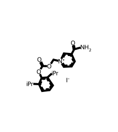 CC(C)c1cccc(C(C)C)c1OC(=O)OC[n+]1cccc(C(N)=O)c1.[I-]